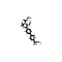 CC(C)C(N)c1ccc(-c2ccc([C@H]3OC(C)(C)N(C(=O)OC(C)(C)C)[C@@H]3CF)cc2)cn1